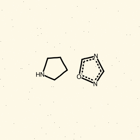 C1CCNC1.c1ncon1